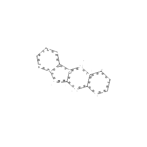 c1c[nH]c2nc3nc4ccccc4c3nc2c1